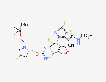 CC(C)(C)[Si](C)(C)OCCN1C[C@@H](F)C[C@H]1COc1ncc2c3c(c(-c4ncc(F)c5sc(NC(=O)O)c(C#N)c45)c(F)c2n1)COC3